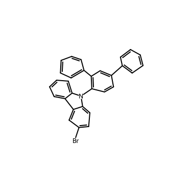 Brc1ccc2c(c1)c1ccccc1n2-c1ccc(-c2ccccc2)cc1-c1ccccc1